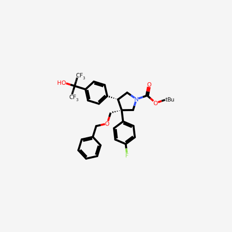 CC(C)(C)OC(=O)N1C[C@@H](c2ccc(C(O)(C(F)(F)F)C(F)(F)F)cc2)[C@](COCc2ccccc2)(c2ccc(F)cc2)C1